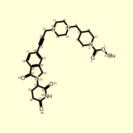 CC(C)(C)OC(=O)N1CCC(CN2CCN(CC#Cc3ccc4c(c3)CN(C3CCC(=O)NC3=O)C4=O)CC2)CC1